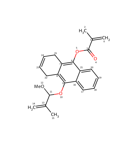 C=C(C)C(=O)Oc1c2c(c(OC(OC)C(=C)C)c3ccccc13)CC=CC2